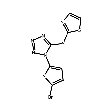 Brc1ccc(-n2nnnc2Sc2nccs2)s1